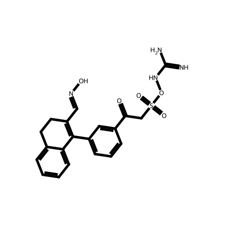 N=C(N)NOS(=O)(=O)CC(=O)c1cccc(C2=C(C=NO)CCc3ccccc32)c1